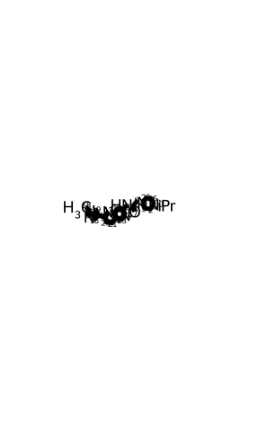 CC(C)N1CCN(CC(=O)Nc2cc3nc(-c4cnn(C)c4)ccc3cn2)CC1